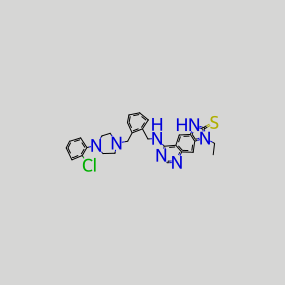 CCn1c(=S)[nH]c2cc3c(NCc4ccccc4CN4CCN(c5ccccc5Cl)CC4)ncnc3cc21